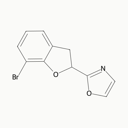 Brc1cccc2c1OC(c1ncco1)C2